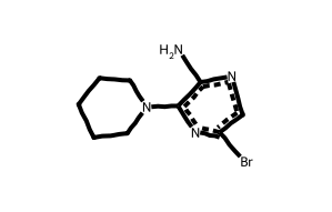 Nc1ncc(Br)nc1N1CCCCC1